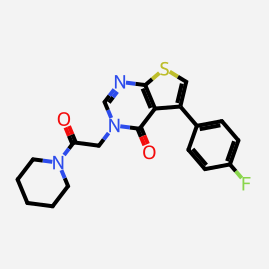 O=C(Cn1cnc2scc(-c3ccc(F)cc3)c2c1=O)N1CCCCC1